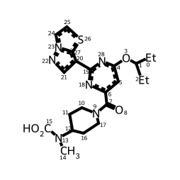 CCC(CC)Oc1cc(C(=O)N2CCC(N(C)C(=O)O)CC2)nc(-c2cnn3ccsc23)n1